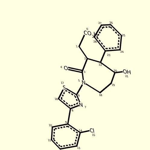 O=C(O)CC1C(=O)N(c2nc(-c3ccccc3Cl)cs2)CCC(O)C1c1ccccc1